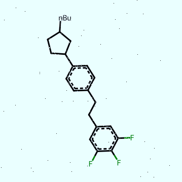 CCCCC1CCC(c2ccc(CCc3cc(F)c(F)c(F)c3)cc2)C1